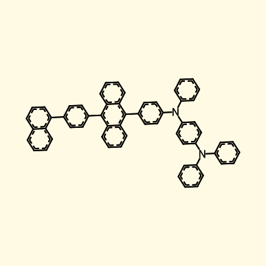 c1ccc(N(c2ccccc2)c2ccc(N(c3ccccc3)c3ccc(-c4c5ccccc5c(-c5ccc(-c6cccc7ccccc67)cc5)c5ccccc45)cc3)cc2)cc1